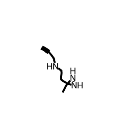 C#CCNCCC1(C)NN1